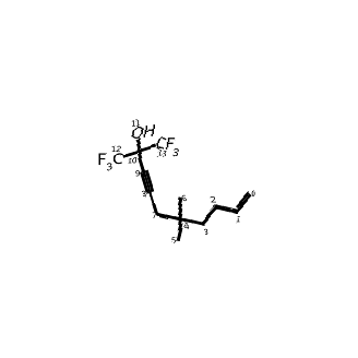 C=CCCC(C)(C)CC#CC(O)(C(F)(F)F)C(F)(F)F